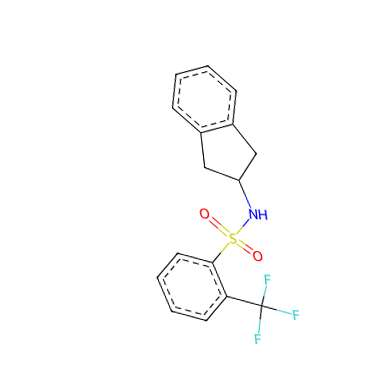 O=S(=O)(NC1Cc2ccccc2C1)c1ccccc1C(F)(F)F